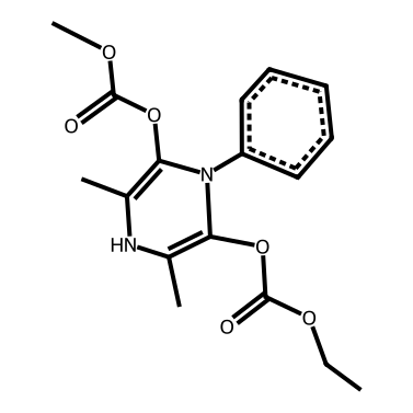 CCOC(=O)OC1=C(C)NC(C)=C(OC(=O)OC)N1c1ccccc1